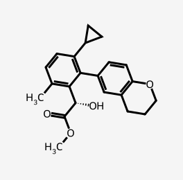 COC(=O)[C@@H](O)c1c(C)ccc(C2CC2)c1-c1ccc2c(c1)CCCO2